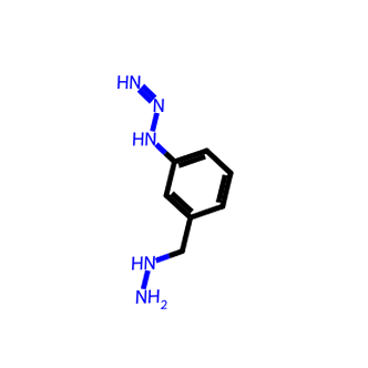 N=NNc1cccc(CNN)c1